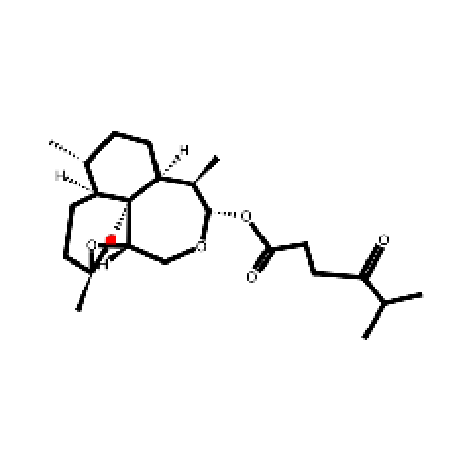 CC(C)C(=O)CCC(=O)O[C@@H]1OC[C@@H]2O[C@@]3(C)CC[C@H]4[C@H](C)CC[C@@H]([C@H]1C)[C@@]24OO3